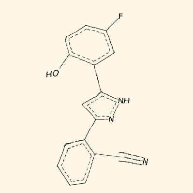 N#Cc1ccccc1-c1cc(-c2cc(F)ccc2O)[nH]n1